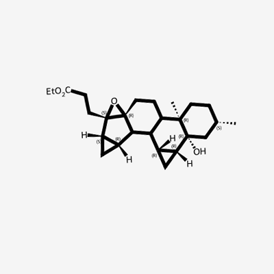 CCOC(=O)CC[C@@]12O[C@@]13CCC1C(C3[C@@H]3C[C@@H]32)[C@H]2C[C@H]2[C@]2(O)C[C@@H](C)CC[C@]12C